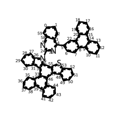 c1ccc2c(-c3ccc4c5ccccc5c5ccccc5c4c3)nc(-n3c4ccccc4c4c5c6ccccc6c6ccccc6c5c5c6ccccc6sc5c43)nc2c1